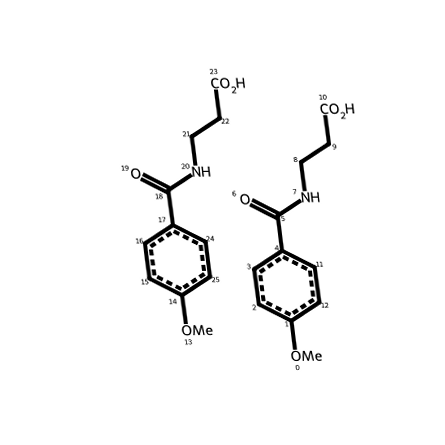 COc1ccc(C(=O)NCCC(=O)O)cc1.COc1ccc(C(=O)NCCC(=O)O)cc1